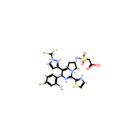 O=C(O)CS(=O)(=O)N[C@H]1CC2=C(c3ccn(C(F)F)n3)[C@H](c3ccc(F)cc3Cl)N=C(c3nccs3)N2C1